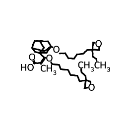 CCCC1(CCCCCCCOC(=C(C)C(=O)O)C23CC4CC(CC(OCCCCCCCC5(CCC)COC5)(C4)C2)C3)COC1